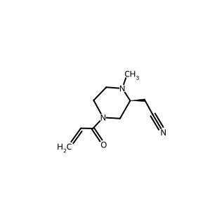 C=CC(=O)N1CCN(C)[C@@H](CC#N)C1